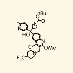 COc1nc2ccc(C(O)(c3ccc(C)nc3)C3CN(C(=O)OC(C)(C)C)C3)cc2c(Cl)c1CN1CCC(C(F)(F)F)CC1